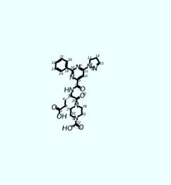 O=C(O)CC[C@H](NC(=O)c1cc(N2CCC=N2)nc(-c2ccccc2)n1)C(=O)N1CCN(C(=O)O)CC1